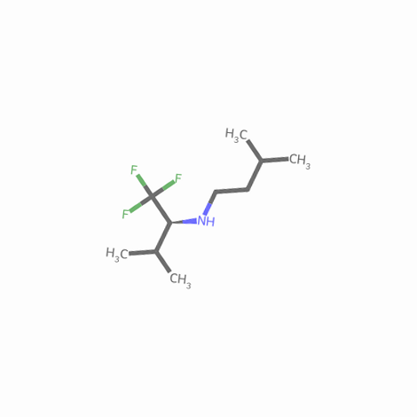 CC(C)CCN[C@@H](C(C)C)C(F)(F)F